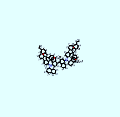 C=Cc1ccc(CC2(c3ccc(C(C)(C)C)cc3)c3ccccc3-c3ccc(N(c4cccc5ccccc45)c4ccc(-c5ccc(N(c6ccc7c(c6)C(Cc6ccc(C=C)cc6)(c6ccc(C(C)(C)C)cc6)c6ccccc6-7)c6cccc7ccccc67)c6ccccc56)c5ccccc45)cc32)cc1